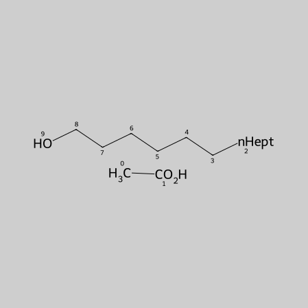 CC(=O)O.CCCCCCCCCCCCCO